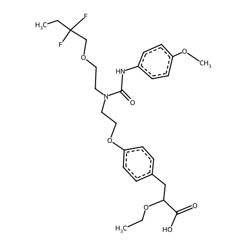 CCOC(Cc1ccc(OCCN(CCOCC(F)(F)CC)C(=O)Nc2ccc(OC)cc2)cc1)C(=O)O